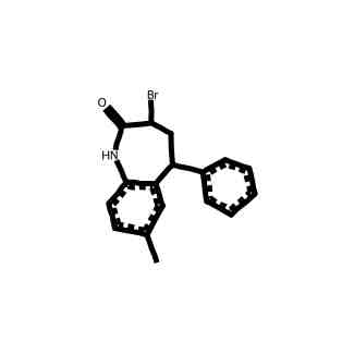 Cc1ccc2c(c1)C(c1ccccc1)CC(Br)C(=O)N2